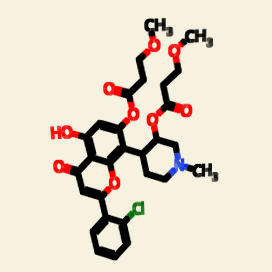 COCCC(=O)Oc1cc(O)c2c(=O)cc(-c3ccccc3Cl)oc2c1C1CCN(C)CC1OC(=O)CCOC